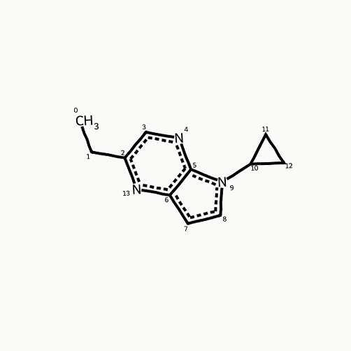 CCc1cnc2c(ccn2C2CC2)n1